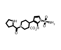 NS(=O)(=O)n1ccc(C2CCN(C(=O)C3CCCN3)CC2)c1C(=O)O